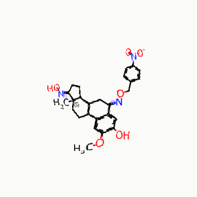 COc1cc2c(cc1O)/C(=N/OCc1ccc([N+](=O)[O-])cc1)CC1C2CC[C@]2(C)/C(=N/O)CCC12